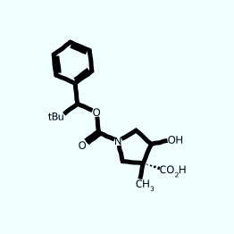 CC(C)(C)C(OC(=O)N1CC(O)[C@](C)(C(=O)O)C1)c1ccccc1